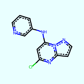 Clc1cc(Nc2cccnc2)n2nccc2n1